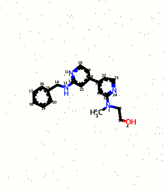 CN(CCO)c1cc(-c2ccnc(NCc3ccccc3)c2)ccn1